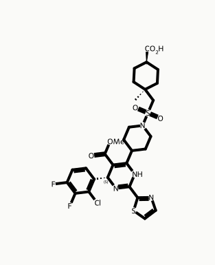 COC(=O)C1=C(C2CCN(S(=O)(=O)C[C@]3(C)CC[C@H](C(=O)O)CC3)CC2)NC(c2nccs2)=N[C@@H]1c1ccc(F)c(F)c1Cl